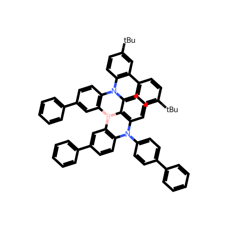 CC(C)(C)c1ccc(-c2cc(C(C)(C)C)ccc2N2c3ccc(-c4ccccc4)cc3B3c4cc(-c5ccccc5)ccc4N(c4ccc(-c5ccccc5)cc4)c4cccc2c43)cc1